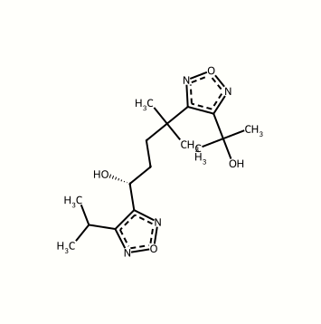 CC(C)c1nonc1[C@H](O)CCC(C)(C)c1nonc1C(C)(C)O